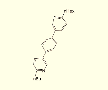 CCCCCCc1ccc(-c2ccc(-c3ccc(CCCC)nc3)cc2)cc1